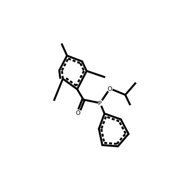 Cc1cc(C)c(C(=O)P(OC(C)C)c2ccccc2)c(C)c1